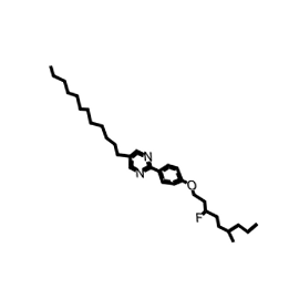 CCCCCCCCCCCCc1cnc(-c2ccc(OCCC(F)CCC(C)CCC)cc2)nc1